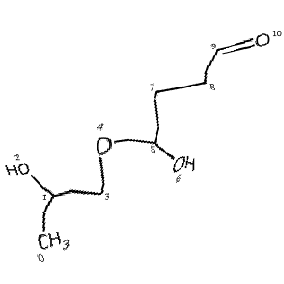 CC(O)COC(O)CCC=O